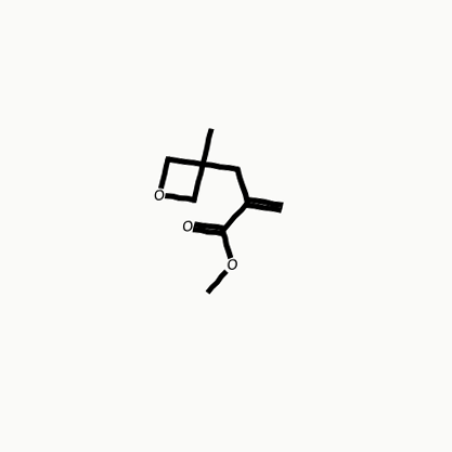 C=C(CC1(C)COC1)C(=O)OC